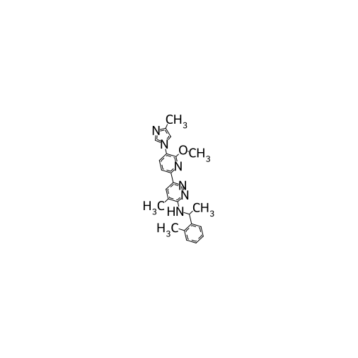 COc1nc(-c2cc(C)c(NC(C)c3ccccc3C)nn2)ccc1-n1cnc(C)c1